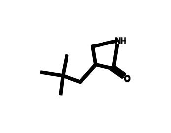 CC(C)(C)CC1CNC1=O